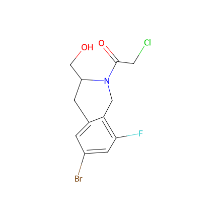 O=C(CCl)N1Cc2c(F)cc(Br)cc2CC1CO